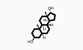 C[C@]12CC[C@H](O)C[C@@H]1CC[C@@H]1[C@@H]2CC[C@]2(C)[C@H](O)CC[C@@H]12